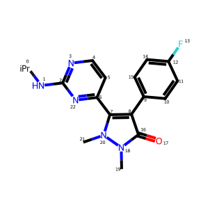 CC(C)Nc1nccc(-c2c(-c3ccc(F)cc3)c(=O)n(C)n2C)n1